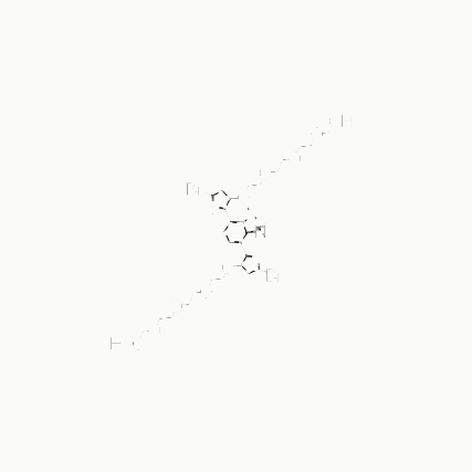 CCOCCOCCOCCOc1cc(Br)sc1-c1ccc(-c2sc(Br)cc2OCCOCCOCCOCC)c2nsnc12